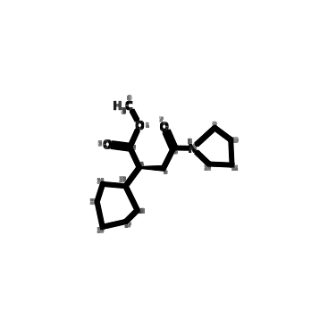 COC(=O)[C@@H](CC(=O)N1CCCC1)C1CCCCC1